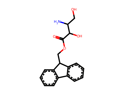 NC(CO)C(O)C(=O)OCC1c2ccccc2-c2ccccc21